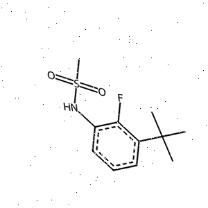 CC(C)(C)c1cccc(NS(C)(=O)=O)c1F